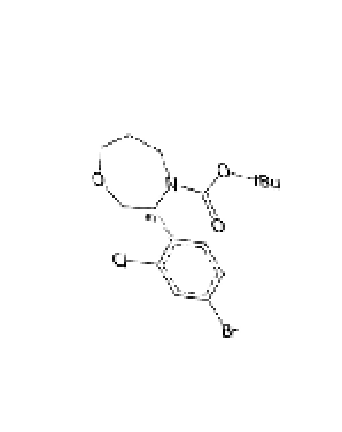 CC(C)(C)OC(=O)N1CCCOC[C@H]1c1ccc(Br)cc1Cl